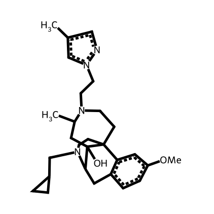 COc1ccc2c(c1)C13CCN(CCn4cc(C)cn4)C(C)CC1(O)C(C2)N(CC1CC1)CC3